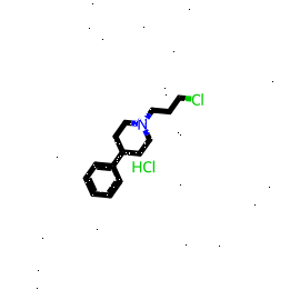 Cl.ClCCCN1CCC(c2ccccc2)CC1